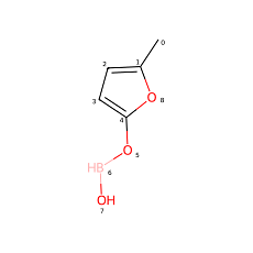 Cc1ccc(OBO)o1